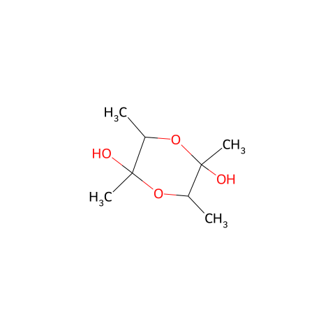 CC1OC(C)(O)C(C)OC1(C)O